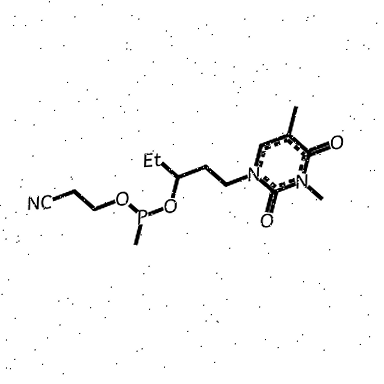 CCC(CCn1cc(C)c(=O)n(C)c1=O)OP(C)OCCC#N